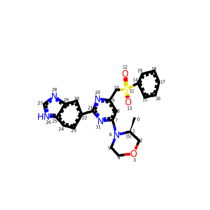 C[C@H]1COCCN1c1cc(CS(=O)(=O)c2ccccc2)nc(-c2ccc3[nH]cnc3c2)n1